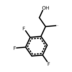 [CH2]C(CO)c1cc(F)cc(F)c1F